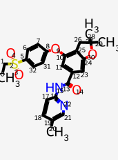 CCS(=O)(=O)c1ccc(Oc2cc(C(=O)Nc3ccc(C)cn3)cc3c2CC(C)(C)O3)cc1